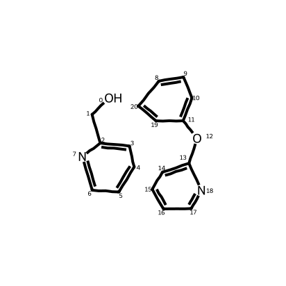 OCc1ccccn1.c1ccc(Oc2ccccn2)cc1